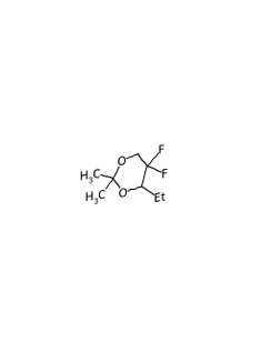 CCC1OC(C)(C)OCC1(F)F